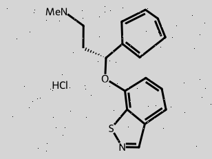 CNCC[C@@H](Oc1cccc2cnsc12)c1ccccc1.Cl